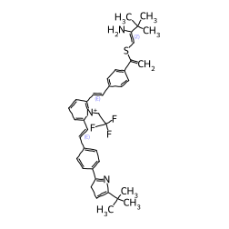 C=C(S/C=C(\N)C(C)(C)C)c1ccc(/C=C/c2cccc(/C=C/c3ccc(C4=NC(C(C)(C)C)=CC4)cc3)[n+]2CC(F)(F)F)cc1